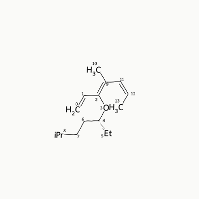 C=C/C(O[C@H](CC)CCC(C)C)=C(C)/C=C\C